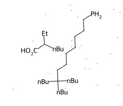 CCCCC(CC)C(=O)O.CCCCC(CCCC)(CCCC)CCCCCCCP